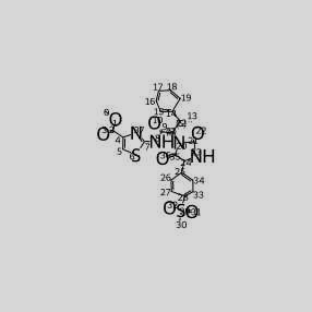 COC(=O)c1csc(NC(=O)[C@H]([C@@H](C)c2ccccc2)N2C(=O)NC(c3ccc(S(C)(=O)=O)cc3)C2=O)n1